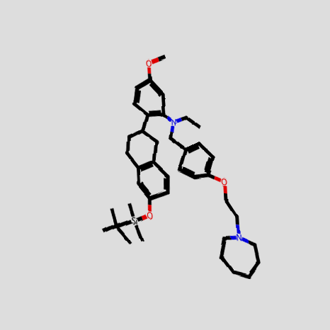 CCN(Cc1ccc(OCCN2CCCCCC2)cc1)c1cc(OC)ccc1C1CCc2cc(O[Si](C)(C)C(C)(C)C)ccc2C1